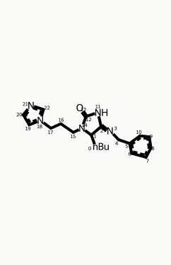 CCCCC1/C(=N\Cc2ccccc2)NC(=O)N1CCCn1ccnc1